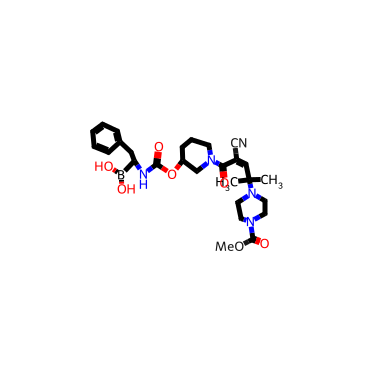 COC(=O)N1CCN(C(C)(C)C=C(C#N)C(=O)N2CCCC(OC(=O)NC(Cc3ccccc3)B(O)O)C2)CC1